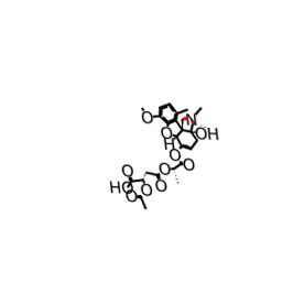 COc1ccc(C)c2c1O[C@H]1C(OC(=O)[C@H](C)OC(=O)C[C@H](OC(C)=O)C(=O)O)=CC[C@@]3(O)[C@@H](C)N(C)CC[C@]213